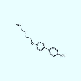 C=CCCCCOc1c[c]c(-c2ccc(CCCC)cc2)cc1